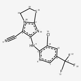 N#Cc1c(Nc2ncc(C(F)(F)F)cc2Cl)nc2n1CCS2